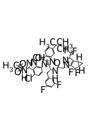 Cn1nc(NS(C)(=O)=O)c2c(Cl)ccc(-n3c([C@H](Cc4cc(F)cc(F)c4)NC(=O)Cn4nc(C(F)F)c5c4C(F)(F)[C@@H]4C[C@H]54)nc4cc(C(C)(C)C)ccc4c3=O)c21